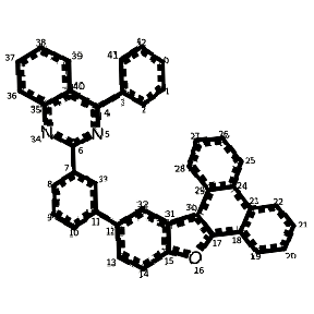 c1ccc(-c2nc(-c3cccc(-c4ccc5oc6c7ccccc7c7ccccc7c6c5c4)c3)nc3ccccc23)cc1